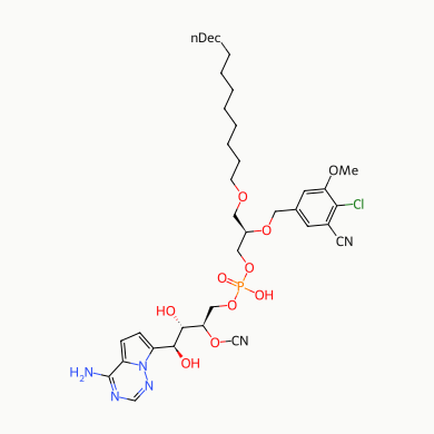 CCCCCCCCCCCCCCCCCCOC[C@H](COP(=O)(O)OC[C@@H](OC#N)[C@@H](O)[C@@H](O)c1ccc2c(N)ncnn12)OCc1cc(C#N)c(Cl)c(OC)c1